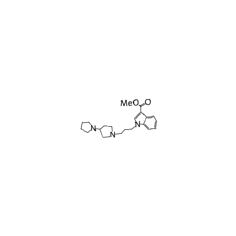 COC(=O)c1cn(CCCN2CCC(N3CCCC3)CC2)c2ccccc12